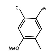 COc1cc(Cl)c(C(C)C)cc1C